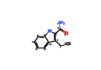 N#CCC1=C(C(N)=O)[N]c2ccccc21